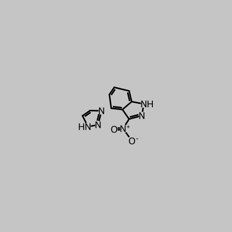 O=[N+]([O-])c1n[nH]c2ccccc12.c1c[nH]nn1